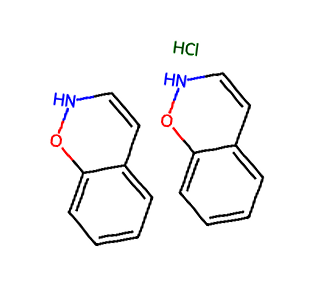 C1=Cc2ccccc2ON1.C1=Cc2ccccc2ON1.Cl